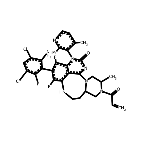 C=CC(=O)N1CC2CCNc3c(F)c(-c4c(N)c(Cl)cc(Cl)c4F)c(F)c4c3c(nc(=O)n4-c3c(C)ccnc3C(C)C)N2CC1C